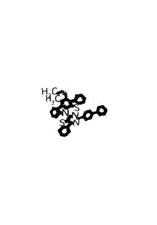 C=C/C=C\c1c(C)c2c3ccccc3n(-c3nc(-c4ccc(-c5ccccc5)cc4)nc4c3sc3ccccc34)c2c2sc3ccccc3c12